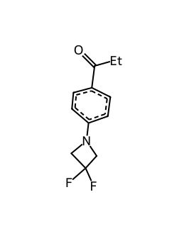 CCC(=O)c1ccc(N2CC(F)(F)C2)cc1